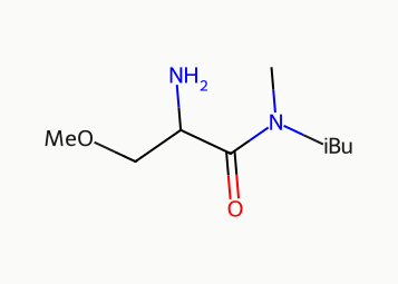 CCC(C)N(C)C(=O)C(N)COC